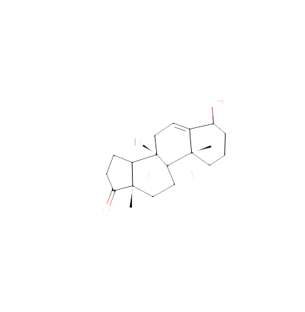 C[C@]12CCCC(O)C1=CC[C@@H]1[C@@H]2CC[C@]2(C)C(=O)[C@H](F)C[C@@H]12